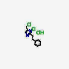 Cl.ClCc1cnc(CCc2ccccc2)n1Cl